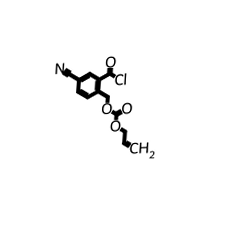 C=CCOC(=O)OCc1ccc(C#N)cc1C(=O)Cl